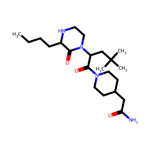 CCCCC1NCCN(C(CC(C)(C)C)C(=O)N2CCC(CC(N)=O)CC2)C1=O